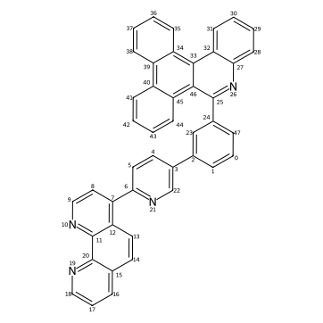 c1cc(-c2ccc(-c3ccnc4c3ccc3cccnc34)nc2)cc(-c2nc3ccccc3c3c4ccccc4c4ccccc4c23)c1